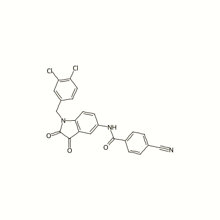 N#Cc1ccc(C(=O)Nc2ccc3c(c2)C(=O)C(=O)N3Cc2ccc(Cl)c(Cl)c2)cc1